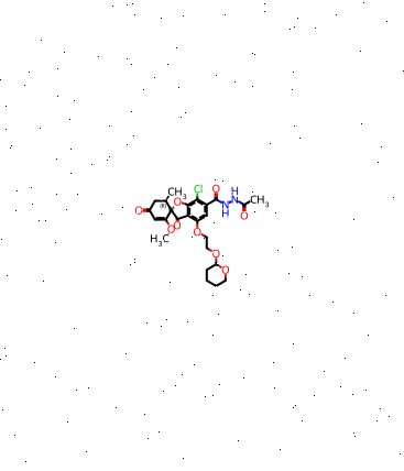 COC1=CC(=O)C[C@@H](C)[C@]12Oc1c(Cl)c(C(=O)NNC(C)=O)cc(OCCOC3CCCCO3)c1C2=O